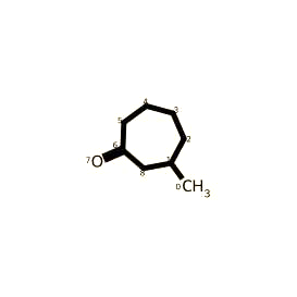 CC1CCCCC(=O)C1